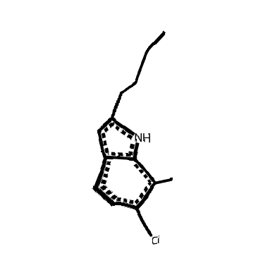 CCCCc1cc2ccc(Cl)c(C)c2[nH]1